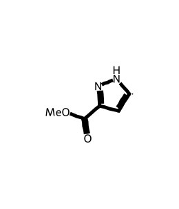 COC(=O)c1c[c][nH]n1